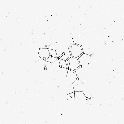 CC(C)(C)OC(=O)N1[C@@H]2CC[C@@]1(C)CN(c1nc(OCC3(CO)CC3)nc3c(F)cc(F)cc13)C2